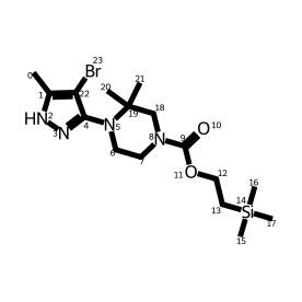 Cc1[nH]nc(N2CCN(C(=O)OCC[Si](C)(C)C)CC2(C)C)c1Br